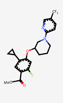 COC(=O)c1cc(C2CC2)c(OC2CCCN(c3ccc(C(F)(F)F)cn3)C2)cc1F